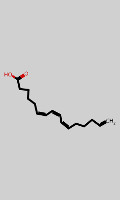 C=CCCC\C=C/C=C\C=C/CCCCC(=O)O